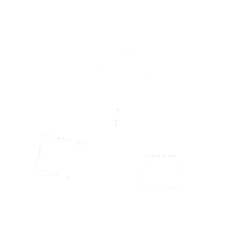 C1CC(C(C2CCC2)C2CCC2)C1